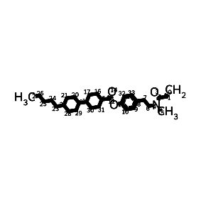 C=CC(=O)N(C)CCc1ccc(OC(=O)C2CCC(C3CCC(CCCCC)CC3)CC2)cc1